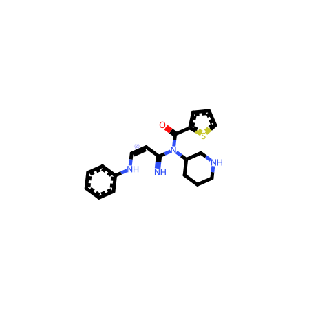 N=C(/C=C\Nc1ccccc1)N(C(=O)c1cccs1)C1CCCNC1